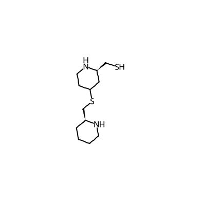 SC[C@H]1CC(SC[C@@H]2CCCCN2)CCN1